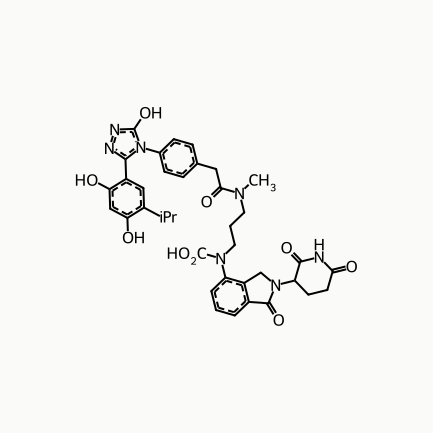 CC(C)c1cc(-c2nnc(O)n2-c2ccc(CC(=O)N(C)CCCN(C(=O)O)c3cccc4c3CN(C3CCC(=O)NC3=O)C4=O)cc2)c(O)cc1O